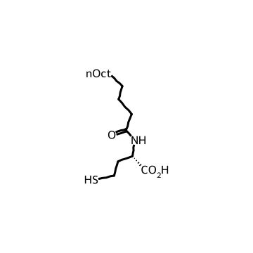 CCCCCCCCCCCC(=O)N[C@@H](CCS)C(=O)O